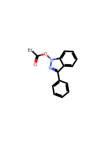 CCC(=O)On1nc(-c2ccccc2)c2ccccc21